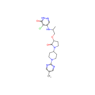 CC(COC1CCN(C2CCN(c3ncc(C(F)(F)F)cn3)CC2)C1=O)Nc1cn[nH]c(=O)c1Cl